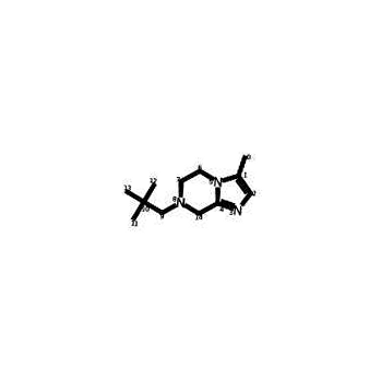 Cc1cnc2n1CCN(CC(C)(C)C)C2